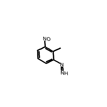 Cc1c(N=N)cccc1N=O